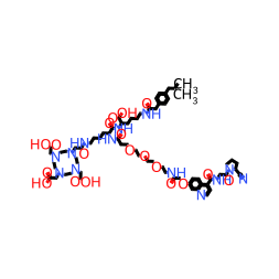 CC(C)Cc1ccc(CC(=O)NCCCCC(NC(=O)C(CCCCNC(=O)CN2CCN(CC(=O)O)CCN(CC(=O)O)CCN(CC(=O)O)CC2)NC(=O)CCOCCOCCOCCNC(=O)COc2ccc3c(C(=O)NCC(=O)N4CCCC4C#N)ccnc3c2)C(=O)O)cc1